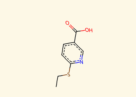 CCSc1ccc(C(=O)O)cn1